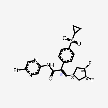 CCc1cnc(NC(=O)/C(=C/[C@H]2C[C@@H](F)[C@@H](F)C2)c2ccc(S(=O)(=O)C3CC3)cc2)cn1